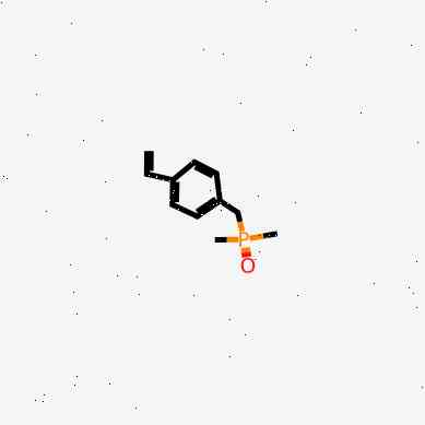 C=Cc1ccc(CP(C)(C)=O)cc1